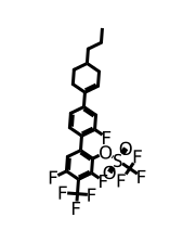 CCCC1CC=C(c2ccc(-c3cc(F)c(C(F)(F)F)c(F)c3OS(=O)(=O)C(F)(F)F)c(F)c2)CC1